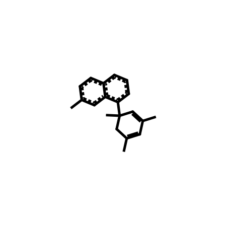 CC1=CC(C)(c2cccc3ccc(C)cc23)CC(C)=C1